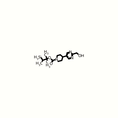 CC([SiH3])C(C)(C)OC(=O)N1CCC(c2cnc(CO)nc2)CC1